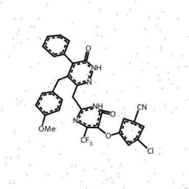 COc1ccc(Cc2c(Cc3nc(C(F)(F)F)c(Oc4cc(Cl)cc(C#N)c4)c(=O)[nH]3)n[nH]c(=O)c2-c2ccccc2)cc1